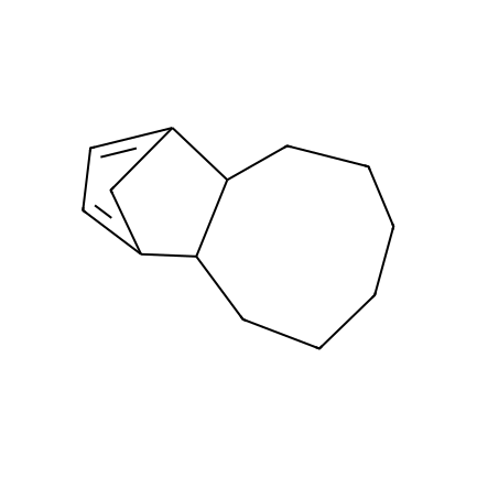 C1=C2CC(=C1)C1CCCCCCC21